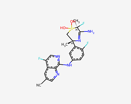 C[C@]1(F)C(N)=N[C@](C)(c2cc(Nc3ncc(F)c4cc(C#N)cnc34)ccc2F)CS1(O)O